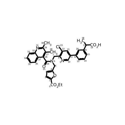 CCOC(=O)c1ccc(CN(Cc2ncc(-c3cccc(C(C)C(=O)O)c3)cc2Cl)C(=O)c2c(C)c(C)nc3ccccc23)o1